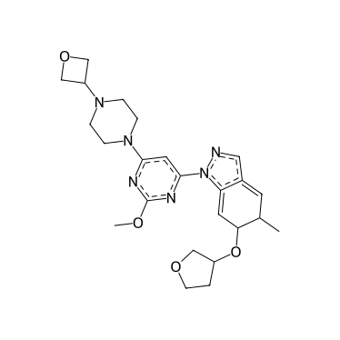 COc1nc(N2CCN(C3COC3)CC2)cc(-n2ncc3c2=CC(OC2CCOC2)C(C)C=3)n1